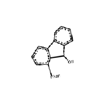 CCCCCCCCCc1cccc2c1C(O)c1ccccc1-2